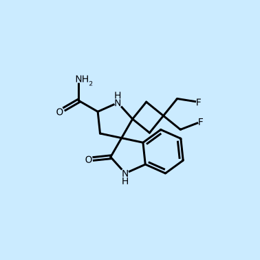 NC(=O)C1CC2(C(=O)Nc3ccccc32)C2(CC(CF)(CF)C2)N1